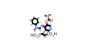 CN(C)C(=O)Oc1cnccc1N=CN(C)C1CCCCC1.O=C(O)C=CC(=O)O